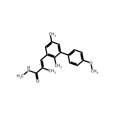 CNC(=O)/C(C)=C/c1cc(C)cc(-c2ccc(OC)cc2)c1C